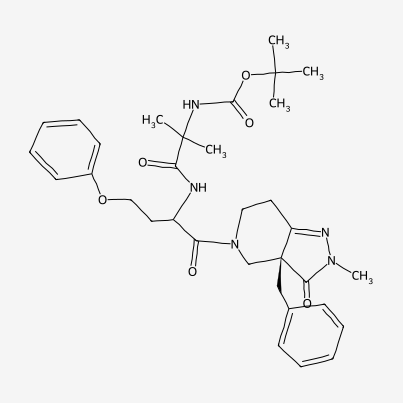 CN1N=C2CCN(C(=O)C(CCOc3ccccc3)NC(=O)C(C)(C)NC(=O)OC(C)(C)C)C[C@@]2(Cc2ccccc2)C1=O